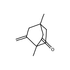 C=C1CC2(C)CCC1(C)C(=O)C2